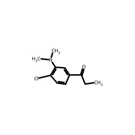 CCC(=O)c1ccc(Cl)c(N(C)C)c1